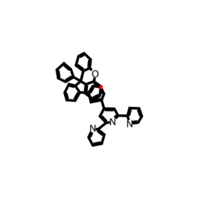 c1ccc(C2(c3ccccc3-c3cccc(-c4cc(-c5ccccn5)nc(-c5ccccn5)c4)c3)c3ccccc3Oc3ccccc32)cc1